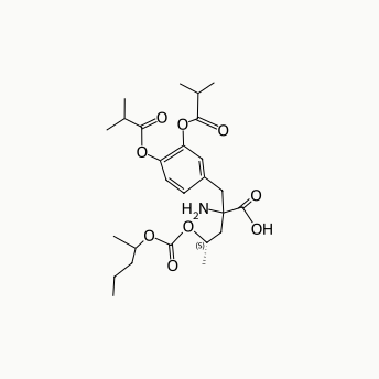 CCCC(C)OC(=O)O[C@@H](C)CC(N)(Cc1ccc(OC(=O)C(C)C)c(OC(=O)C(C)C)c1)C(=O)O